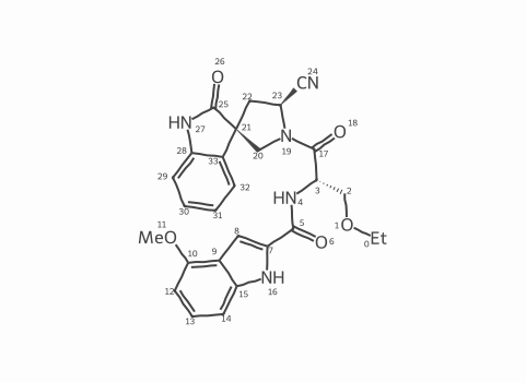 CCOC[C@H](NC(=O)c1cc2c(OC)cccc2[nH]1)C(=O)N1C[C@]2(C[C@H]1C#N)C(=O)Nc1ccccc12